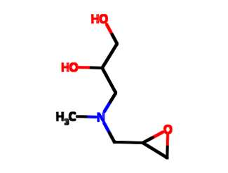 CN(CC(O)CO)CC1CO1